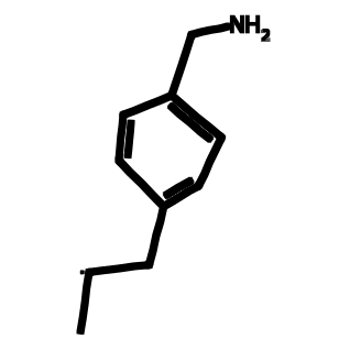 C[CH]Cc1ccc(CN)cc1